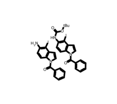 CC(C)(C)OC(=O)Nc1ccc2c(ccn2C(=O)c2ccccc2)c1I.Nc1ccc2c(ccn2C(=O)c2ccccc2)c1I